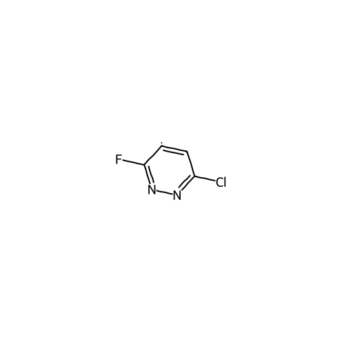 Fc1[c]cc(Cl)nn1